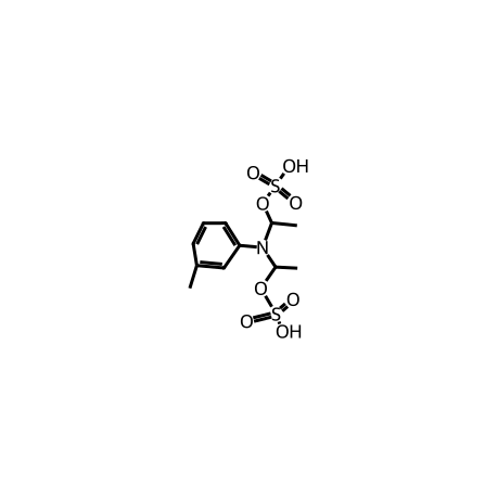 Cc1cccc(N(C(C)OS(=O)(=O)O)C(C)OS(=O)(=O)O)c1